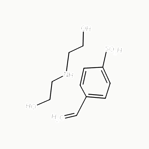 C=Cc1ccc(S(=O)(=O)O)cc1.OCCNCCO